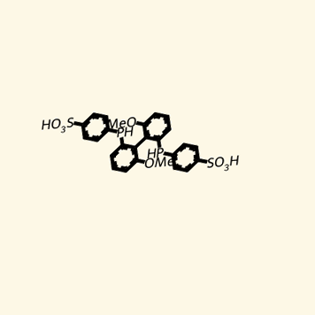 COc1cccc(Pc2ccc(S(=O)(=O)O)cc2)c1-c1c(OC)cccc1Pc1ccc(S(=O)(=O)O)cc1